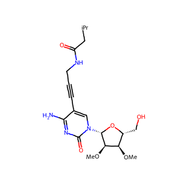 CO[C@@H]1[C@H](OC)[C@@H](CO)O[C@H]1n1cc(C#CCNC(=O)CC(C)C)c(N)nc1=O